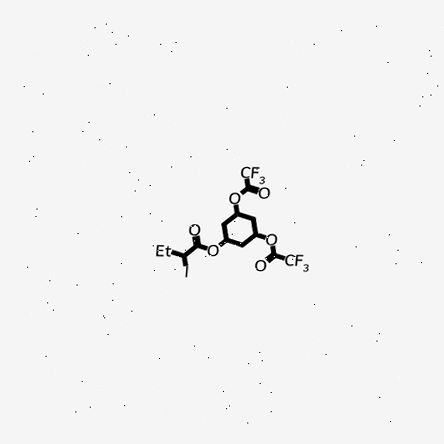 CCC(I)C(=O)OC1CC(OC(=O)C(F)(F)F)CC(OC(=O)C(F)(F)F)C1